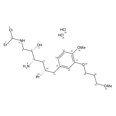 CCC(CC)NC[C@H](O)[C@@H](N)C[C@H](Cc1ccc(OC)c(OCCCOC)c1)C(C)C.Cl.Cl